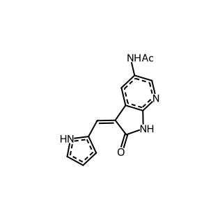 CC(=O)Nc1cnc2c(c1)C(=Cc1ccc[nH]1)C(=O)N2